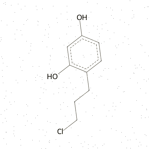 Oc1ccc(CCCCl)c(O)c1